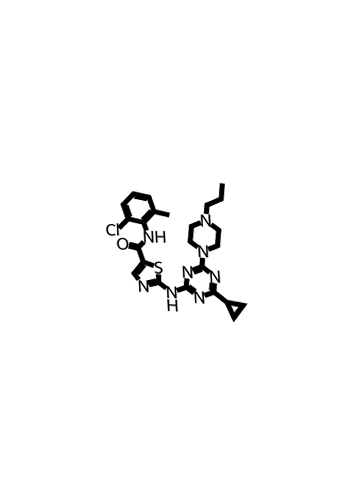 CCCN1CCN(c2nc(Nc3ncc(C(=O)Nc4c(C)cccc4Cl)s3)nc(C3CC3)n2)CC1